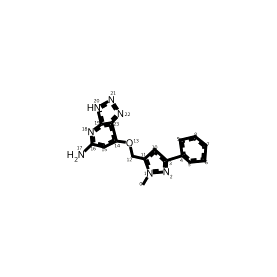 Cn1nc(-c2ccccc2)cc1COc1cc(N)nc2[nH]nnc12